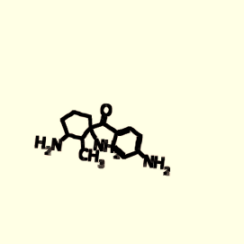 CC1C(N)CCCC1(N)C(=O)c1ccc(N)cc1